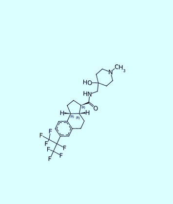 CN1CCC(O)(CNC(=O)[C@@H]2CC[C@H]3c4ccc(C(F)(C(F)(F)F)C(F)(F)F)cc4CC[C@@H]23)CC1